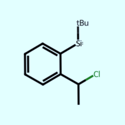 CC(Cl)c1ccccc1[Si]C(C)(C)C